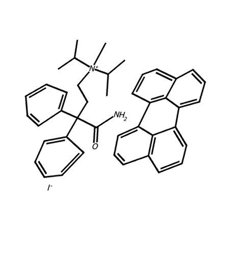 CC(C)[N+](C)(CCC(C(N)=O)(c1ccccc1)c1ccccc1)C(C)C.[I-].c1cc2cccc3c4cccc5cccc(c(c1)c23)c54